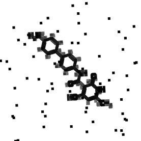 Cc1cc(O)c(C(=O)Nc2ccc(-c3ccc(N)cc3)cc2)c(=O)[nH]1